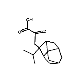 C=C(CC1(C(C)C)C2CC3CC(C2)CC1C3)C(=O)O